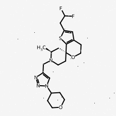 C[C@H]1C[C@@]2(CCN1Cc1cn(C3CCOCC3)nn1)OCCc1cc(CC(F)F)sc12